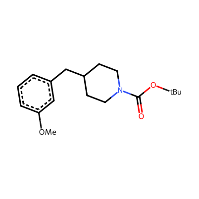 COc1cccc(CC2CCN(C(=O)OC(C)(C)C)CC2)c1